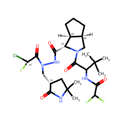 CC1(C)C[C@@H](CN(NC(=O)[C@@H]2[C@H]3CCC[C@H]3CN2C(=O)C(NC(=O)C(F)F)C(C)(C)C)C(=O)[C@@H](F)Cl)C(=O)N1